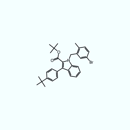 Cc1ccc(Br)cc1Cn1c(C(=O)OC(C)(C)C)c(-c2ccc(C(C)(C)C)cc2)c2ccccc21